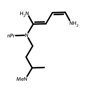 CCCN(CCC(C)NC)/C(N)=C/C=C\N